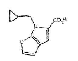 O=C(O)c1cc2ccoc2n1CC1CC1